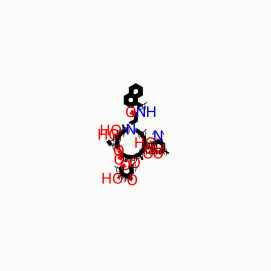 CC[C@H]1OC(=O)[C@H](C)[C@@H](O[C@H]2C[C@@](C)(OC)[C@@H](O)[C@H](C)O2)[C@H](C)[C@@H](O[C@@H]2O[C@H](C)C[C@H](N(C)C)[C@H]2O)[C@](C)(O)C[C@@H](C)CN(CCC(=O)N[C@@H](C)c2cccc3ccccc23)[C@H](C)[C@@H](O)[C@]1(C)O